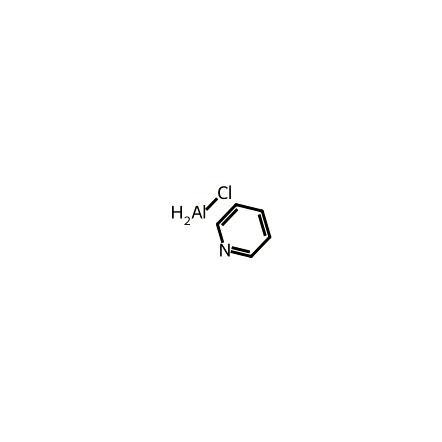 [AlH2][Cl].c1ccncc1